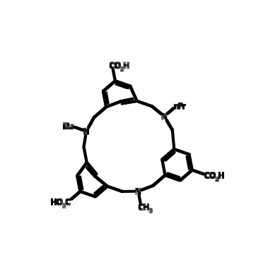 CCCN1Cc2cc(cc(C(=O)O)c2)CN(C)Cc2cc(cc(C(=O)O)c2)CN(C(C)CC)Cc2cc(cc(C(=O)O)c2)C1